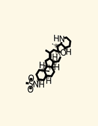 CC1=C2C[C@H]3[C@@H](CC[C@@H]4C[C@H](NS(C)(=O)=O)CC[C@@]43C)[C@@H]2CC[C@@]2(C1)O[C@@H]1CCCNC1[C@H]2C